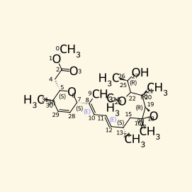 COC(=O)C[C@@H]1O[C@H](/C(C)=C/C=C/[C@@H](C)C[C@@]2(C)O[C@@H]2[C@H](C)C(OC)[C@@H](C)O)C=C[C@H]1C